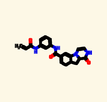 C=CC(=O)Nc1cccc(NC(=O)C2=CCC3CC4C(=O)NC=CN4C3=C2)c1